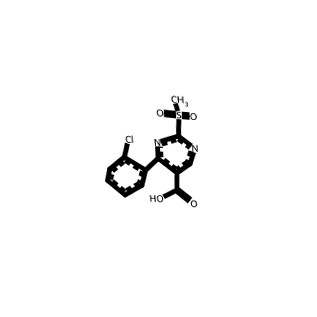 CS(=O)(=O)c1ncc(C(=O)O)c(-c2ccccc2Cl)n1